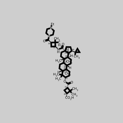 CCN1CCN(C(=O)[C@@H]2C[C@H](NC(=O)[C@]34CC[C@@H](C5(C)CC5)[C@@H]3[C@H]3CC[C@@H]5[C@@]6(C)CC[C@H](OC(=O)[C@H]7C[C@@H](C(=O)O)C7(C)C)C(C)(C)[C@@H]6CC[C@@]5(C)[C@]3(C)CC4)C2(C)C)CC1